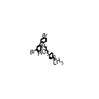 COc1ccc(SCC(O)Cn2c3ccc(Br)cc3c3cc(Br)ccc32)cc1